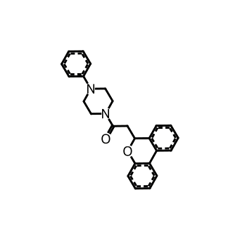 O=C(CC1Oc2ccccc2-c2ccccc21)N1CCN(c2ccccc2)CC1